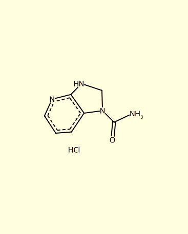 Cl.NC(=O)N1CNc2ncccc21